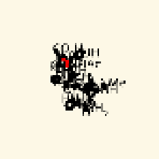 CNC(=N)NCCC[C@H](NC(=O)[C@H](CC1CC1)NC(=O)CNC(=O)[C@H](CC1CCCCC1)NC(=O)[C@@H](NC(=O)[C@H](CC(N)=O)NC(=O)[C@H](CCCC(=O)O)NC(=O)[C@@H](Cc1ccc(O)cc1)NC(C)=O)[C@@H](C)O)C(=O)N[C@@H](Cc1c[nH]c2ccccc12)C(N)=O